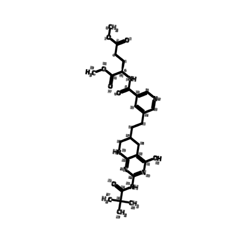 COC(=O)CC[C@@H](NC(=O)c1cncc(CCC2CNc3nc(NC(=O)C(C)(C)C)nc(O)c3C2)c1)C(=O)OC